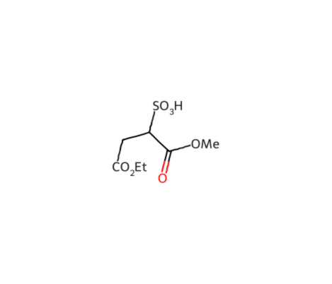 CCOC(=O)CC(C(=O)OC)S(=O)(=O)O